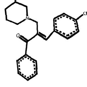 O=C(/C(=C/c1ccc(Cl)cc1)CN1CCCCC1)c1ccccc1